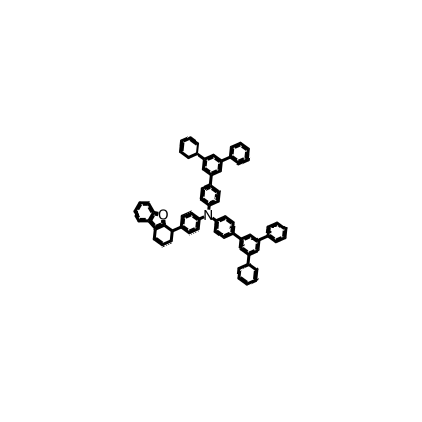 C1=CCC(c2cc(-c3ccccc3)cc(-c3ccc(N(c4ccc(-c5cc(-c6ccccc6)cc(C6C=CC=CC6)c5)cc4)c4ccc(C5CC=Cc6c5oc5ccccc65)cc4)cc3)c2)C=C1